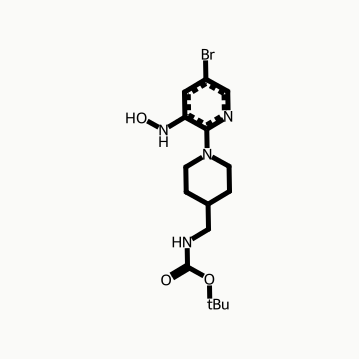 CC(C)(C)OC(=O)NCC1CCN(c2ncc(Br)cc2NO)CC1